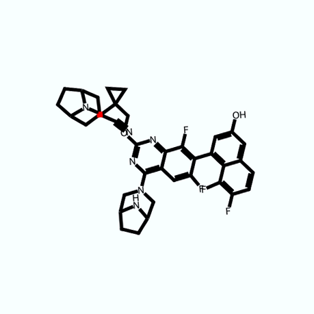 N#CC1CC2CCC(C1)N2CC1(COc2nc(N3CC4CCC(C3)N4)c3cc(F)c(-c4cc(O)cc5ccc(F)c(F)c45)c(F)c3n2)CC1